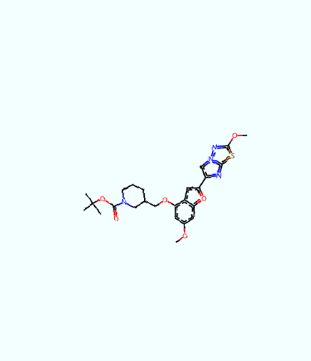 COc1cc(OCC2CCCN(C(=O)OC(C)(C)C)C2)c2cc(-c3cn4nc(OC)sc4n3)oc2c1